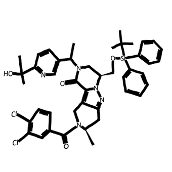 CC(c1ccc(C(C)(C)O)nc1)N1C[C@@H](CO[Si](c2ccccc2)(c2ccccc2)C(C)(C)C)n2nc3c(c2C1=O)CN(C(=O)c1ccc(Cl)c(Cl)c1)[C@H](C)C3